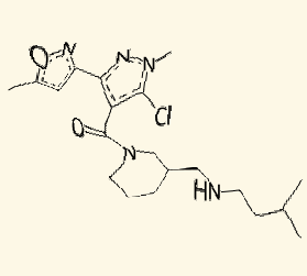 Cc1cc(-c2nn(C)c(Cl)c2C(=O)N2CCC[C@H](CNCCC(C)C)C2)no1